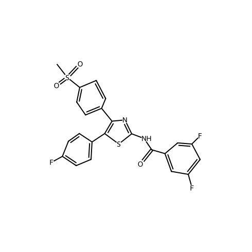 CS(=O)(=O)c1ccc(-c2nc(NC(=O)c3cc(F)cc(F)c3)sc2-c2ccc(F)cc2)cc1